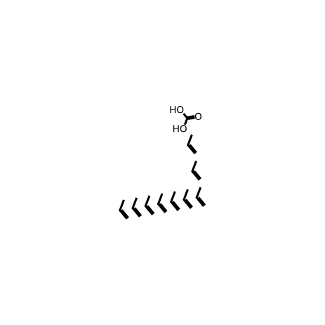 C=CC.C=CC.C=CC.C=CC.C=CC.C=CC.C=CC.C=CC.C=CC.O=C(O)O